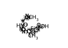 Cc1cc(-c2cc(NC(=O)[C@@H]3C[C@H]3c3cnn(C)c3)ncn2)ccc1O[C@H]1CCN(C(=O)CO)C[C@H]1F